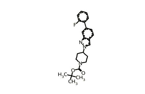 CC(C)(C)OC(=O)N1CCC(n2cc3ccc(-c4ccccc4F)cc3n2)CC1